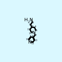 NCCC1CCN(Cc2ccncc2)CC1